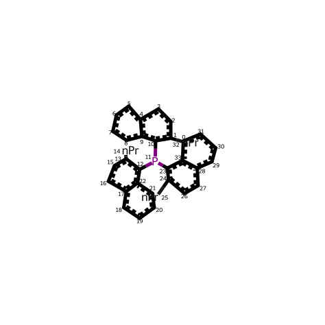 CCCc1ccc2ccccc2c1P(c1c(CCC)ccc2ccccc12)c1c(CCC)ccc2ccccc12